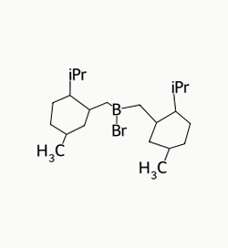 CC1CCC(C(C)C)C(CB(Br)CC2CC(C)CCC2C(C)C)C1